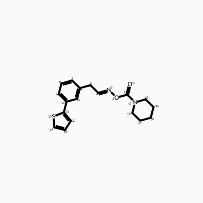 O=C(ON=CCc1cccc(-c2cccs2)c1)N1CCCCC1